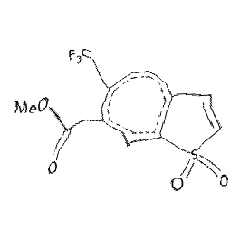 COC(=O)c1cc2c(cc1C(F)(F)F)C=CS2(=O)=O